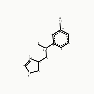 CN(CC1CO[C]=N1)c1cccc(Cl)c1